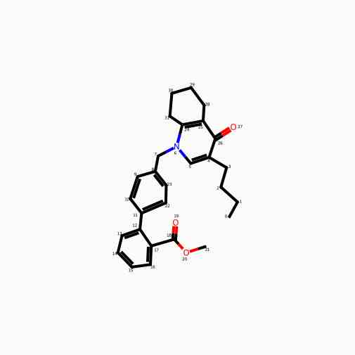 CCCCc1cn(Cc2ccc(-c3ccccc3C(=O)OC)cc2)c2c(c1=O)CCCC2